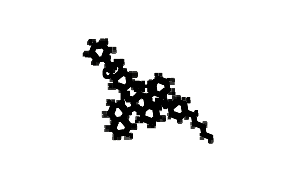 CCCCCc1ccc(Nc2ccccc2-c2c3c4c(c5ccccc25)c2c5ccccc5ccc2n4-c2cc4oc(-c5ccccc5)nc4cc2B3)cc1